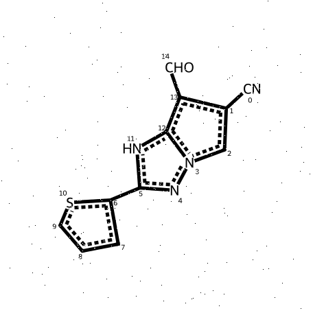 N#Cc1cn2nc(-c3cccs3)[nH]c2c1C=O